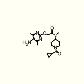 Cc1nc(OCC(=O)N(C)C2CCN(C(=O)C3CC3)CC2)nc(C)c1N